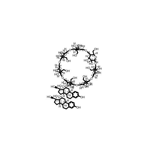 C#C[C@]1(O)CC[C@H]2[C@@H]3CCc4cc(O)ccc4[C@H]3CC[C@@]21C.C#C[C@]1(O)CC[C@H]2[C@@H]3CCc4cc(O)ccc4[C@H]3CC[C@@]21C.OC[C@H]1O[C@@H]2O[C@H]3[C@H](O)[C@@H](O)[C@@H](O[C@H]4[C@H](O)[C@@H](O)[C@@H](O[C@H]5[C@H](O)[C@@H](O)[C@@H](O[C@H]6[C@H](O)[C@@H](O)[C@@H](O[C@H]7[C@H](O)[C@@H](O)[C@@H](O[C@H]8[C@H](O)[C@@H](O)[C@@H](O[C@H]1[C@H](O)[C@H]2O)O[C@@H]8CO)O[C@@H]7CO)O[C@@H]6CO)O[C@@H]5CO)O[C@@H]4CO)O[C@@H]3CO